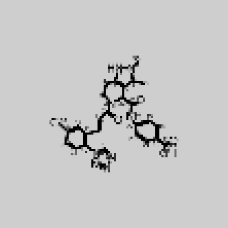 CC1C2=C(CCN(C(=O)C=Cc3cc(Cl)ccc3-n3cnnn3)C2C(=O)Nc2ccc(C(=O)O)cc2)NN1C